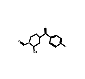 O=[C]N1CCC(C(=O)c2ccc(F)cc2)CC1O